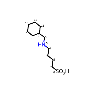 O=S(=O)(O)CCCCNCC1CCCCC1